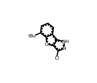 CC(C)(C)c1cccc2c1oc1c(Cl)n[nH]c12